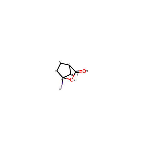 O=C1OC2(I)CCC1C2